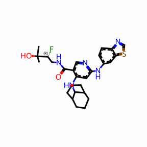 CC(C)(O)[C@H](F)CNC(=O)c1cnc(Nc2ccc3ncsc3c2)cc1NC1C2CCCC1CCC2